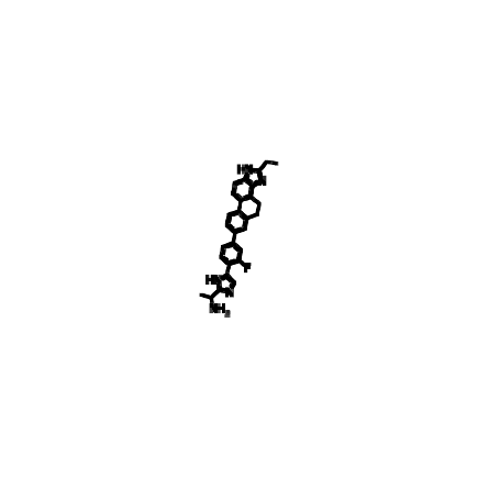 CCc1nc2c3c(ccc2[nH]1)-c1ccc(-c2ccc(-c4cnc(C(C)N)[nH]4)c(F)c2)cc1CC3